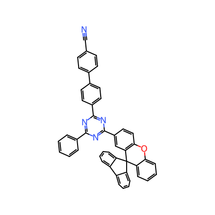 N#Cc1ccc(-c2ccc(-c3nc(-c4ccccc4)nc(-c4ccc5c(c4)C4(c6ccccc6O5)c5ccccc5-c5ccccc54)n3)cc2)cc1